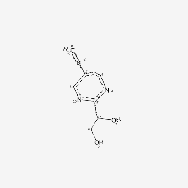 C=Bc1cnc(C(O)CO)nc1